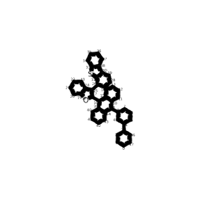 c1ccc(-c2cccc(-c3c4ccccc4c(-c4oc5ccccc5c4-c4cccc5c4sc4ccccc45)c4ccccc34)c2)cc1